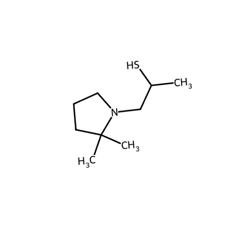 CC(S)CN1CCCC1(C)C